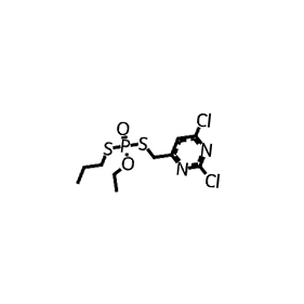 CCCSP(=O)(OCC)SCc1cc(Cl)nc(Cl)n1